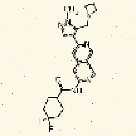 Cn1ncc(-c2cc3cc(NC(=O)C4CCC(F)(F)CC4)ncc3cn2)c1CN1CCC1